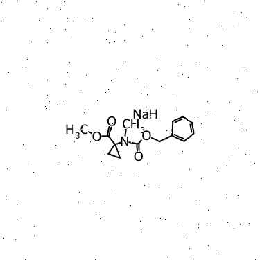 COC(=O)C1(N(C)C(=O)OCc2ccccc2)CC1.[NaH]